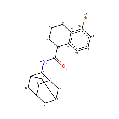 O=C(NC1C2CC3CC(C2)CC1C3)C1CCCc2c(Br)cccc21